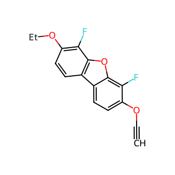 C#COc1ccc2c(oc3c(F)c(OCC)ccc32)c1F